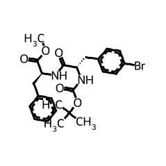 COC(=O)[C@H](Cc1ccccc1)NC(=O)[C@H](Cc1ccc(Br)cc1)NC(=O)OC(C)(C)C